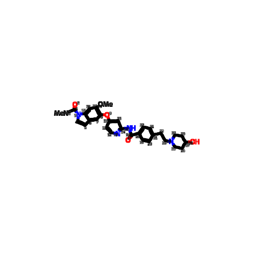 CNC(=O)n1ccc2cc(Oc3ccnc(NC(=O)c4ccc(CCN5CCC(O)CC5)cc4)c3)c(OC)cc21